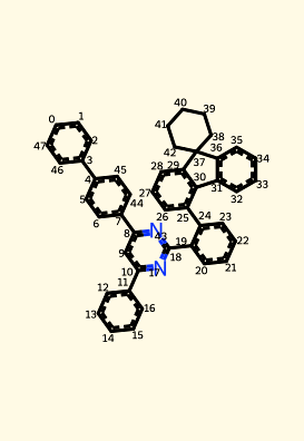 c1ccc(-c2ccc(-c3cc(-c4ccccc4)nc(-c4ccccc4-c4cccc5c4-c4ccccc4C54CCCCC4)n3)cc2)cc1